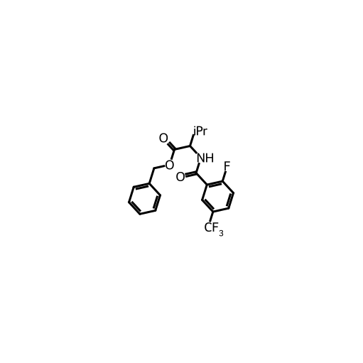 CC(C)C(NC(=O)c1cc(C(F)(F)F)ccc1F)C(=O)OCc1ccccc1